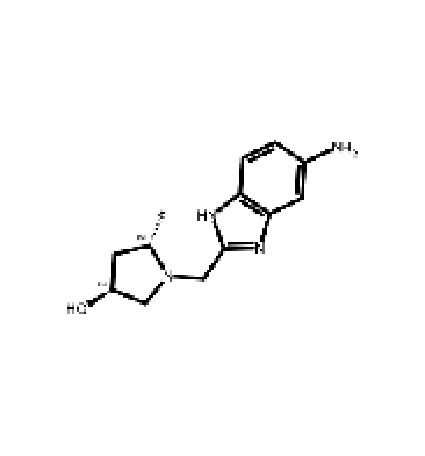 C[C@H]1C[C@H](O)CN1Cc1nc2cc(N)ccc2[nH]1